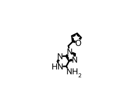 NC1NC=Nc2c1ncn2Cc1ccco1